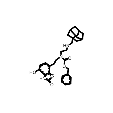 O=C(OCc1ccccc1)N(CCNCC12CC3CC(CC(C3)C1)C2)CCc1ccc(O)c2[nH]c(=O)sc12